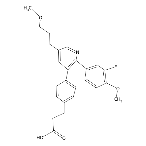 COCCCc1cnc(-c2ccc(OC)c(F)c2)c(-c2ccc(CCC(=O)O)cc2)c1